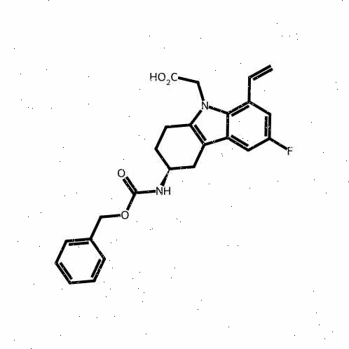 C=Cc1cc(F)cc2c3c(n(CC(=O)O)c12)CC[C@H](NC(=O)OCc1ccccc1)C3